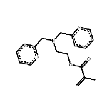 C=C(C)C(=O)OCCN(Cc1ccccn1)Cc1ccccn1